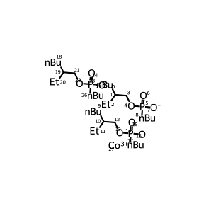 CCCCC(CC)COP(=O)([O-])CCCC.CCCCC(CC)COP(=O)([O-])CCCC.CCCCC(CC)COP(=O)([O-])CCCC.[Co+3]